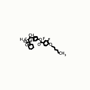 CCCCCCOc1ccc(C(=O)Oc2ccc(C(C)[C@H](C)[C@](F)(C(=O)O)C3CCCCC3)cc2)c(F)c1F